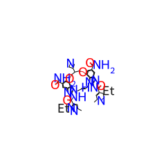 CCC1CN=C(C)C=C1C(=O)Nc1nc2cc(C(N)=O)cc3c2n1C/C=C/Cn1c(NC(=O)c2cc(C)nn2CC)nc2cc(C(N)=O)cc(c21)OCC(C1CN(C)C1)CO3